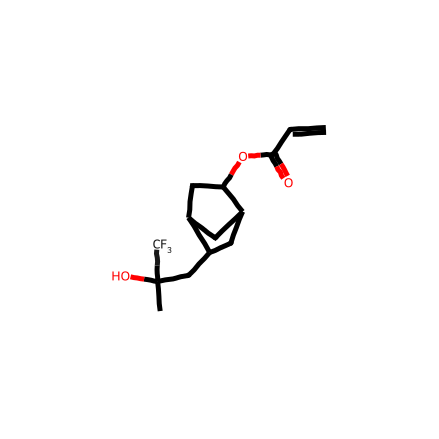 C=CC(=O)OC1CC2CC1CC2CC(C)(O)C(F)(F)F